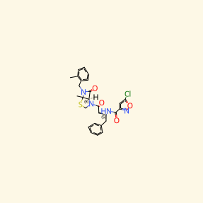 Cc1ccccc1CN1C(=O)[C@H]2N(C(=O)C[C@H](Cc3ccccc3)NC(=O)c3cc(Cl)on3)CSC21C